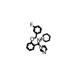 Fc1cccc(COc2ccccc2/C(=N/N2CCCCC2)n2ccnc2)c1